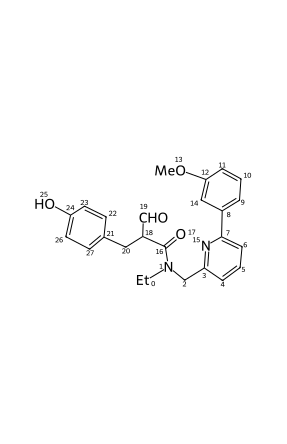 CCN(Cc1cccc(-c2cccc(OC)c2)n1)C(=O)C(C=O)Cc1ccc(O)cc1